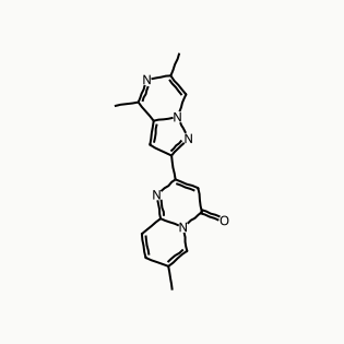 Cc1ccc2nc(-c3cc4c(C)nc(C)cn4n3)cc(=O)n2c1